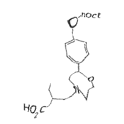 CCCCCCCCOc1ccc(C2CN(CC(C)C(=O)O)CCO2)cc1